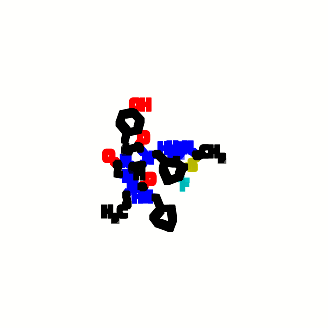 C=CCN(C(=O)NCc1ccccc1)N1CC(=O)N2[C@H](Cc3ccc(O)cc3)C(=O)N(Cc3ccc(F)c(SC(=C)N)c3N)C[C@@H]21